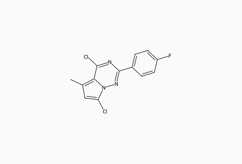 Cc1cc(Cl)n2nc(-c3ccc(F)cc3)nc(Cl)c12